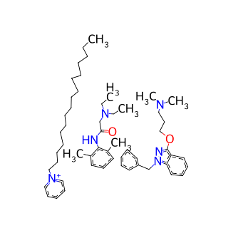 CCCCCCCCCCCCCCCC[n+]1ccccc1.CCN(CC)CC(=O)Nc1c(C)cccc1C.CN(C)CCCOc1nn(Cc2ccccc2)c2ccccc12